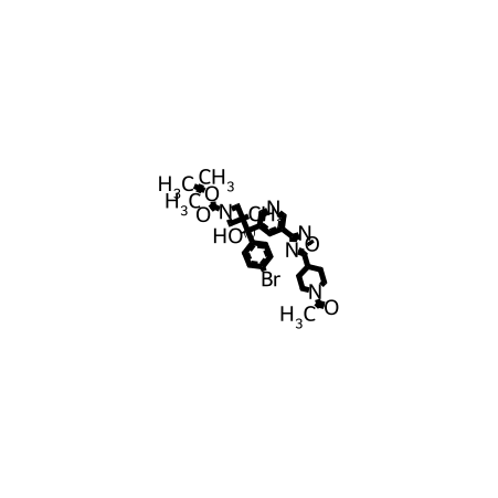 CC(=O)N1CCC(c2nc(-c3cncc([C@@](O)(c4ccc(Br)cc4)C4(C)CN(C(=O)OC(C)(C)C)C4)c3)no2)CC1